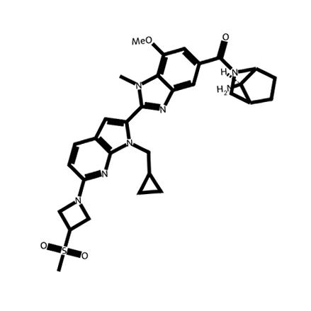 COc1cc(C(=O)N2CC3CCC2[C@@H]3N)cc2nc(-c3cc4ccc(N5CC(S(C)(=O)=O)C5)nc4n3CC3CC3)n(C)c12